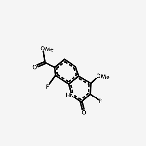 COC(=O)c1ccc2c(OC)c(F)c(=O)[nH]c2c1F